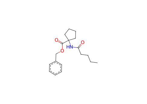 CCCCC(=O)NC1(C(=O)OCc2ccccc2)CCCC1